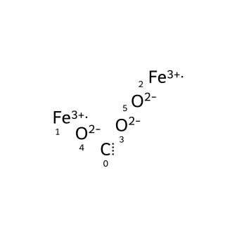 [C].[Fe+3].[Fe+3].[O-2].[O-2].[O-2]